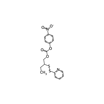 CCC(COC(=O)Oc1ccc([N+](=O)[O-])cc1)SSc1ccccn1